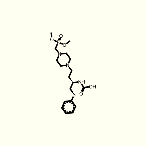 COP(=O)(CN1CCN(CC[C@H](CSc2ccccc2)NC(=O)O)CC1)OC